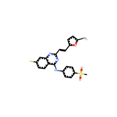 CS(=O)(=O)c1ccc(Nc2nc(/C=C/c3ccc([N+](=O)[O-])o3)nc3cc(F)ccc23)cc1